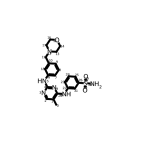 Cc1cnc(Nc2cccc(CN3CCOCC3)c2)nc1Nc1cccc(S(N)(=O)=O)c1